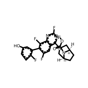 CC(C)(C)OC(=O)N1[C@@H]2CC[C@H]1CN(c1nc(F)nc3c(F)c(-c4cc(O)ccc4F)c(F)cc13)C2